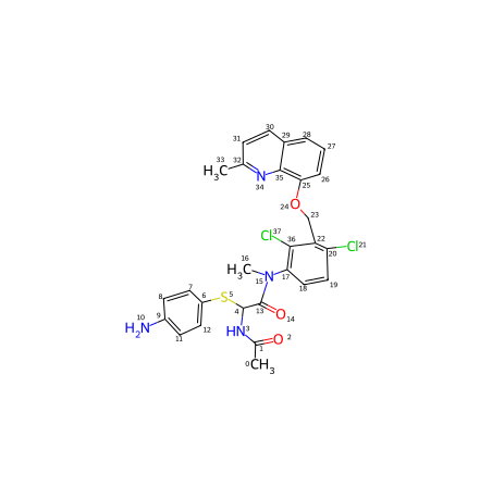 CC(=O)NC(Sc1ccc(N)cc1)C(=O)N(C)c1ccc(Cl)c(COc2cccc3ccc(C)nc23)c1Cl